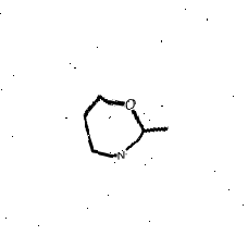 CC1[N]CCCO1